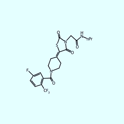 CCCNC(=O)CN1C(=O)SC(=C2CCN(C(=O)c3cc(F)ccc3C(F)(F)F)CC2)C1=O